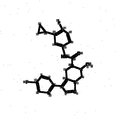 CC1Cn2ncc(-c3ccc(F)cn3)c2CN1C(=O)Nc1ccc(F)c(C2CC2)c1